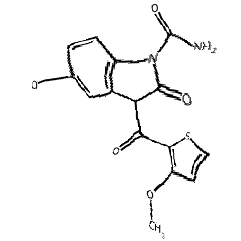 COc1ccsc1C(=O)C1C(=O)N(C(N)=O)c2ccc(Cl)cc21